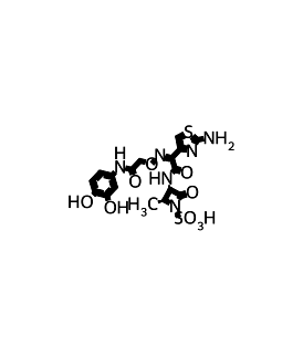 C[C@H]1[C@H](NC(=O)/C(=N\OCC(=O)Nc2ccc(O)c(O)c2)c2csc(N)n2)C(=O)N1S(=O)(=O)O